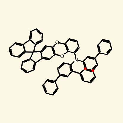 c1ccc(-c2cccc(N(c3ccc(-c4ccccc4)cc3-c3ccccc3)c3cccc4c3Oc3cc5c(cc3O4)C3(c4ccccc4-c4ccccc43)c3ccccc3-5)c2)cc1